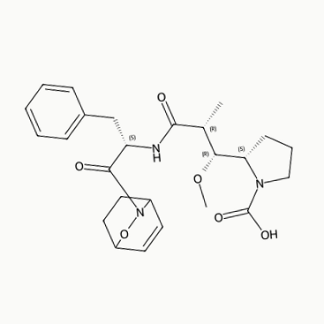 CO[C@H]([C@@H](C)C(=O)N[C@@H](Cc1ccccc1)C(=O)N1OC2C=CC1CC2)[C@@H]1CCCN1C(=O)O